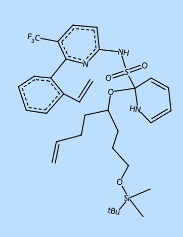 C=CCCC(CCCO[Si](C)(C)C(C)(C)C)OC1(S(=O)(=O)Nc2ccc(C(F)(F)F)c(-c3ccccc3C=C)n2)C=CC=CN1